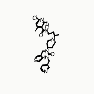 Cc1cc(Cl)nc(C)c1C(=O)NCCC(C)N1CCC(N(Cc2ccsc2)C(=O)NCc2cccnc2)CC1